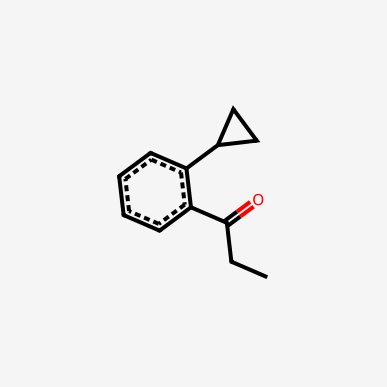 CCC(=O)c1ccccc1C1CC1